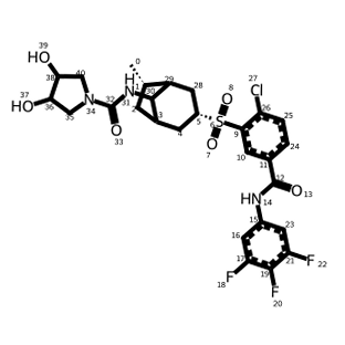 C[C@H]1CC2C[C@@H](S(=O)(=O)c3cc(C(=O)Nc4cc(F)c(F)c(F)c4)ccc3Cl)CC1C2NC(=O)N1CC(O)C(O)C1